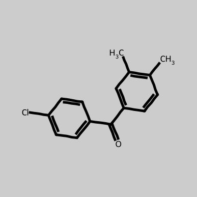 Cc1ccc(C(=O)c2ccc(Cl)cc2)cc1C